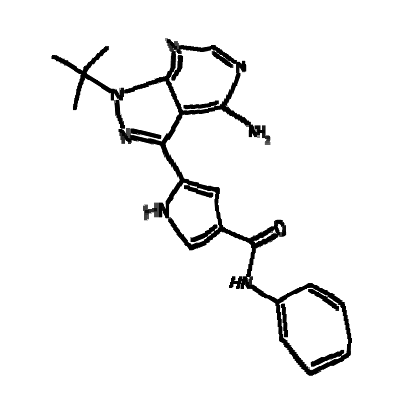 CC(C)(C)n1nc(-c2cc(C(=O)Nc3ccccc3)c[nH]2)c2c(N)ncnc21